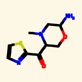 CN1CC(N)OCC1C(=O)c1nccs1